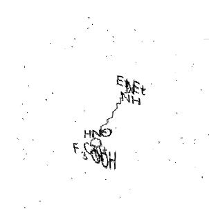 CCN(CC)CCNCCCCCCCCCC(=O)Nc1ccc([N+](=O)O)c(C(F)(F)F)c1